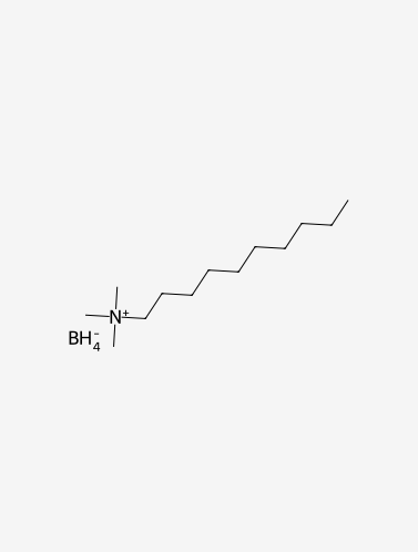 CCCCCCCCCC[N+](C)(C)C.[BH4-]